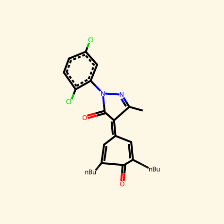 CCCCC1=CC(=C2C(=O)N(c3cc(Cl)ccc3Cl)N=C2C)C=C(CCCC)C1=O